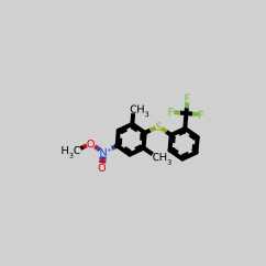 CO[N+](=O)c1cc(C)c(Sc2ccccc2C(F)(F)F)c(C)c1